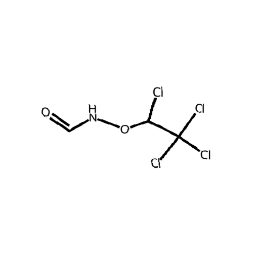 O=CNOC(Cl)C(Cl)(Cl)Cl